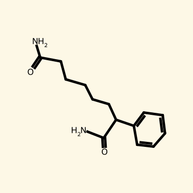 NC(=O)CCCCCC(C(N)=O)c1ccccc1